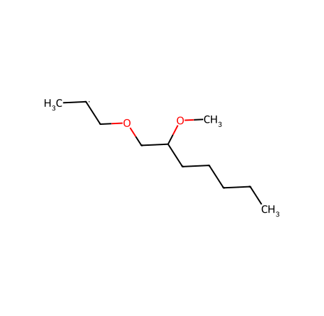 C[CH]COCC(CCCCC)OC